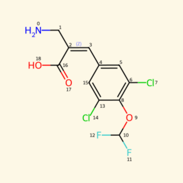 NC/C(=C/c1cc(Cl)c(OC(F)F)c(Cl)c1)C(=O)O